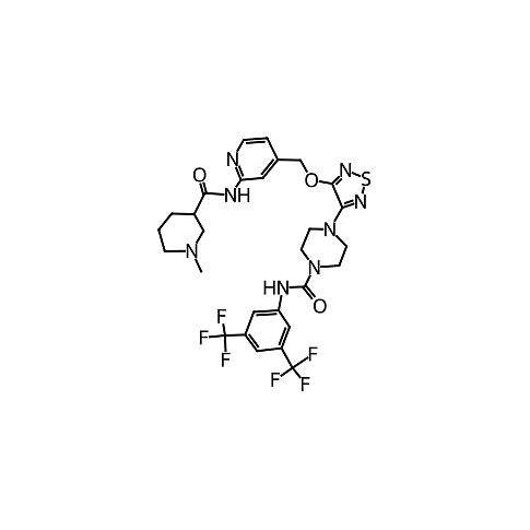 CN1CCCC(C(=O)Nc2cc(COc3nsnc3N3CCN(C(=O)Nc4cc(C(F)(F)F)cc(C(F)(F)F)c4)CC3)ccn2)C1